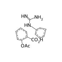 CC(=O)Oc1ccccc1C(=O)O.N=C(N)Nc1ccccc1